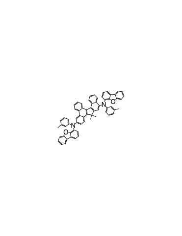 Cc1cccc(N(c2ccc3c4c(c5ccccc5c3c2)-c2c(cc(N(c3cccc(C)c3)c3cccc5c3oc3ccccc35)c3ccccc23)C4(C)C)c2cccc3c2oc2ccccc23)c1